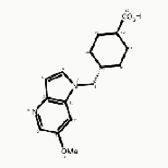 COc1cnc2ccn(C[C@H]3CC[C@H](C(=O)O)CC3)c2c1